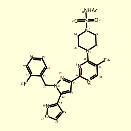 CC(=O)NS(=O)(=O)N1CCN(c2nc(-c3cc(-c4ccon4)n(Cc4ccccc4F)n3)ncc2F)CC1